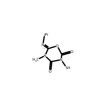 CC(C)/N=c1\oc(=O)n(S)c(=O)n1C